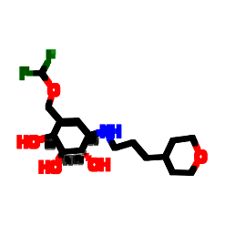 O[C@@H]1[C@@H](O)[C@@H](O)C(COC(F)F)=C[C@H]1NCCCC1CCOCC1